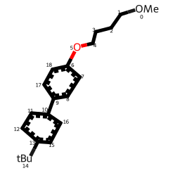 COCCCCOc1ccc(-c2ccc(C(C)(C)C)cc2)cc1